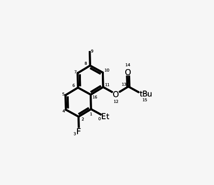 CCc1c(F)ccc2cc(C)cc(OC(=O)C(C)(C)C)c12